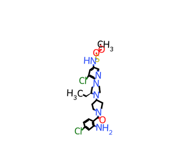 CC[C@H]1CN(c2ncc(NSOOC)cc2Cl)CCN1C1CCN(C(=O)c2ccc(Cl)cc2N)CC1